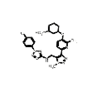 Cc1nc(-c2nnn(C)c2CNc2nnn(-c3ccc(Cl)cc3)n2)ccc1OC1CCC[C@H](C(=O)O)C1